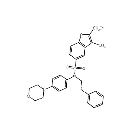 CCOC(=O)c1oc2ccc(S(=O)(=O)N(CCc3ccccc3)c3ccc(N4CCOCC4)cc3)cc2c1C